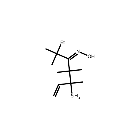 C=CC(C)([SiH3])C(C)(C)C(=NO)C(C)(C)CC